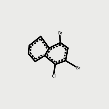 Clc1c(Br)cc(Br)c2ccccc12